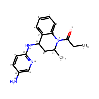 CCC(=O)N1c2ccccc2C(Nc2ccc(N)cn2)CC1C